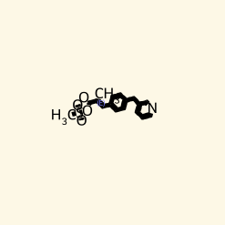 C/C(=C\c1ccc(Cc2cccnc2)cc1)C(=O)OS(C)(=O)=O